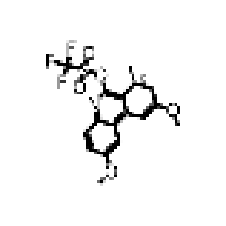 COC1=Cc2c(c(OS(=O)(=O)C(F)(F)F)nc3ccc(OC)cc23)[C@@H](C)C1